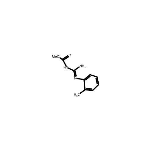 COC(=O)N/C(N)=N/c1ccccc1C